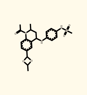 CC(=O)N1c2ccc(C3OC(C)O3)cc2C(Nc2ccc(NS(C)(=O)=O)cc2)CC1C